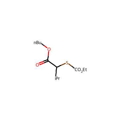 CCCCOC(=O)C(SC(=O)OCC)C(C)C